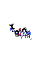 CC(C)n1cnnc1-c1cccc(NC(=O)c2cc(-n3cnc(C4CC4)c3)cn(C)c2=O)n1